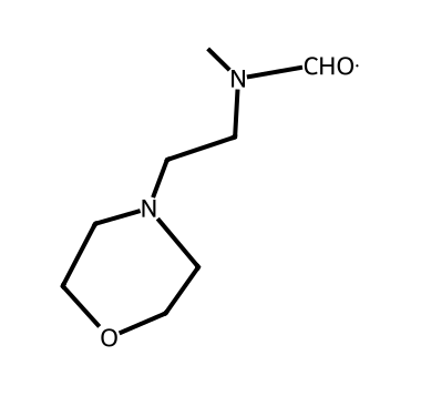 CN([C]=O)CCN1CCOCC1